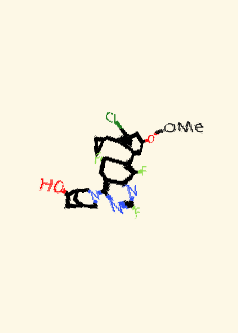 COCOc1cc(Cl)c(C2CC2)c(-c2c(F)cc3c(N4CC5CC(O)C(C5)C4)nc(F)nc3c2F)c1